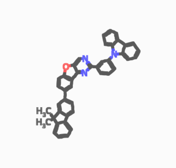 CC1(C)c2ccccc2-c2ccc(-c3ccc4oc5cnc(-c6cccc(-n7c8ccccc8c8ccccc87)c6)nc5c4c3)cc21